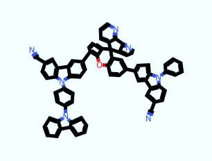 N#Cc1ccc2c(c1)c1cc(-c3ccc4c(c3)C3(c5cccnc5-c5ncccc53)c3cccc(-c5ccc6c(c5)c5cc(C#N)ccc5n6-c5ccc(-n6c7ccccc7c7ccccc76)cc5)c3O4)ccc1n2-c1ccccc1